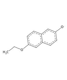 CCOc1ccc2cc([O])ccc2c1